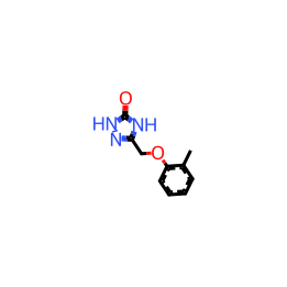 Cc1ccccc1OCc1n[nH]c(=O)[nH]1